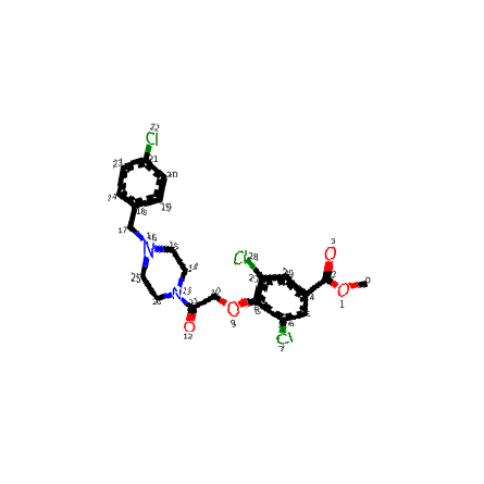 COC(=O)c1cc(Cl)c(OCC(=O)N2CCN(Cc3ccc(Cl)cc3)CC2)c(Cl)c1